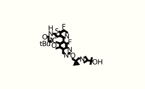 CC(C)(C)OC(=O)Nc1sc2c(F)cnc(-c3c4c(c5cnc(OCC6(CN7CC(C(C)(C)O)C7)CC6)nc5c3F)COC4)c2c1C#N